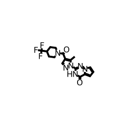 Cc1c(C(=O)N2CCC(C(F)(F)F)CC2)cnn1-c1nn2cccc2c(=O)[nH]1